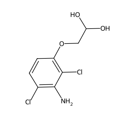 Nc1c(Cl)ccc(OCC(O)O)c1Cl